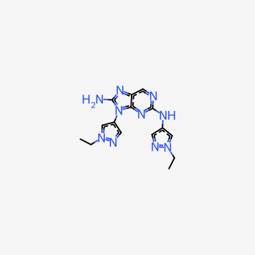 CCn1cc(Nc2ncc3nc(N)n(-c4cnn(CC)c4)c3n2)cn1